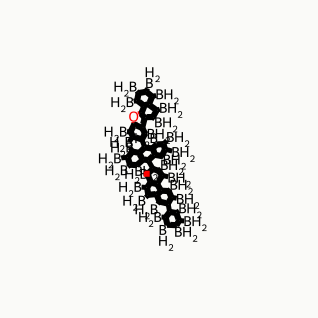 Bc1c(B)c(B)c(-c2c(B)c(B)c3c(c2B)c(B)c(B)c2c(B)c(-c4c5c(B)c(B)c(B)c(B)c5c(-c5c(B)c(B)c6oc7c8c(B)c(B)c(B)c(B)c8c(B)c(B)c7c6c5B)c5c(B)c(B)c(B)c(B)c45)c(B)c(B)c23)c(B)c1B